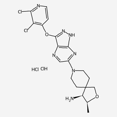 C[C@@H]1OCC2(CCN(c3cnc4c(Oc5ccnc(Cl)c5Cl)n[nH]c4n3)CC2)[C@@H]1N.Cl.Cl